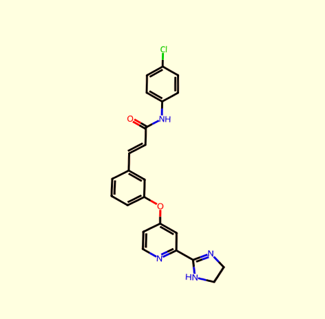 O=C(C=Cc1cccc(Oc2ccnc(C3=NCCN3)c2)c1)Nc1ccc(Cl)cc1